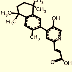 Cc1cc2c(cc1-c1cc(/C=C/C(=O)O)ncc1O)C(C)(C)CCC2(C)C